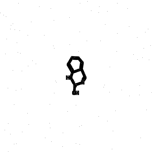 ON1N=Cc2ccccc2N1